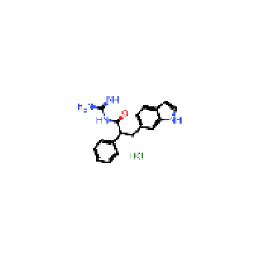 Cl.N=C(N)NC(=O)C(Cc1ccc2cc[nH]c2c1)c1ccccc1